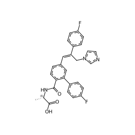 C[C@H](NC(=O)c1ccc(C=C(Cn2ccnc2)c2ccc(F)cc2)cc1-c1ccc(F)cc1)C(=O)O